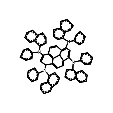 C1=CC2=C(N(c3ccccc3)c3cccc4ccccc34)C=C(N(c3ccccc3)c3cccc4ccccc34)C3=CC=C4C(=C1C(N(c1ccccc1)c1cccc5ccccc15)=CC4N(c1ccccc1)c1cccc4ccccc14)C32